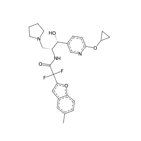 Cc1ccc2oc(C(F)(F)C(=O)N[C@H](CN3CCCC3)[C@H](O)c3ccc(OC4CC4)nc3)cc2c1